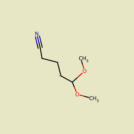 COC([CH]CCC#N)OC